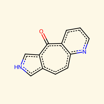 O=c1c2c[nH]cc2ccc2ncccc12